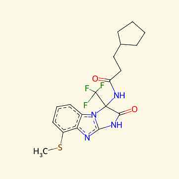 CSc1cccc2c1nc1n2C(NC(=O)CCC2CCCC2)(C(F)(F)F)C(=O)N1